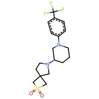 O=S1(=O)CC2(CCN([C@@H]3CCCN(c4ccc(C(F)(F)F)cc4)C3)C2)C1